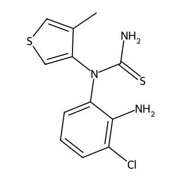 Cc1cscc1N(C(N)=S)c1cccc(Cl)c1N